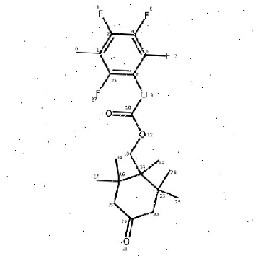 Cc1c(F)c(F)c(F)c(OC(=O)OCC2(C)C(C)(C)CC(=O)CC2(C)C)c1F